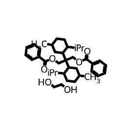 CC1CCC(C(C)C)C(C(COC(=O)c2ccccc2)(COC(=O)c2ccccc2)C2CC(C)CCC2C(C)C)C1.OCCO